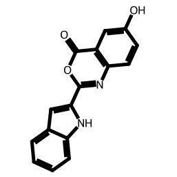 O=c1oc(-c2cc3ccccc3[nH]2)nc2ccc(O)cc12